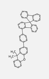 CC1(C)c2ccccc2Oc2ccc(-c3ccc(-c4cccc5c4-c4ccccc4C54c5ccccc5-c5ccccc54)cc3)cc21